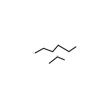 C[CH]C.[CH2]CCCCC